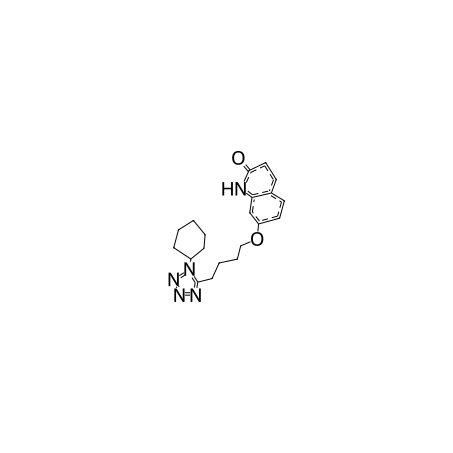 O=c1ccc2ccc(OCCCCc3nnnn3C3CCCCC3)cc2[nH]1